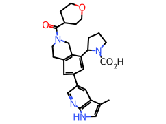 Cc1c[nH]c2ncc(-c3cc4c(c(C5CCCN5C(=O)O)c3)CN(C(=O)C3CCOCC3)CC4)cc12